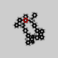 C1=CC(c2nc(-c3ccc(-c4cccc(-c5ccccc5-c5nc(C6=CCC(c7ccc8c(c7)Oc7ccccc7C87c8ccccc8-c8ccccc87)C=C6)cc(-c6ccc7c(c6)CCC=C7)n5)c4)cc3)cc(-c3ccc(-c4ccc5c(c4)OC4=CCCC=C4C54c5ccccc5-c5ccccc54)cc3)n2)=CCC1